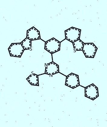 c1ccc(-c2ccc(-c3cc(-c4cc(-c5cccc6c5sc5ccccc56)cc(-c5cccc6c5sc5ccccc56)c4)nc(-c4cccs4)n3)cc2)cc1